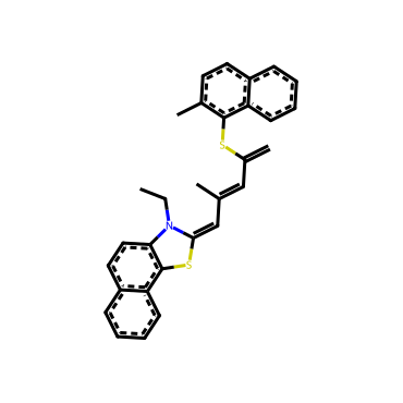 C=C(/C=C(C)/C=C1/Sc2c(ccc3ccccc23)N1CC)Sc1c(C)ccc2ccccc12